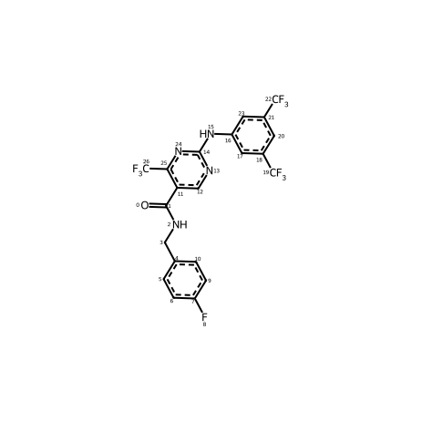 O=C(NCc1ccc(F)cc1)c1cnc(Nc2cc(C(F)(F)F)cc(C(F)(F)F)c2)nc1C(F)(F)F